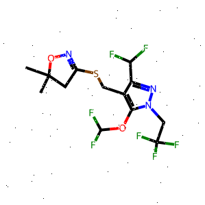 CC1(C)CC(SCc2c(C(F)F)nn(CC(F)(F)F)c2OC(F)F)=NO1